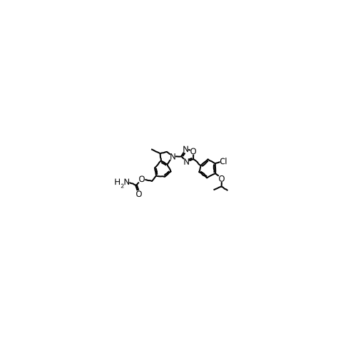 CC(C)Oc1ccc(-c2nc(N3CC(C)c4cc(COC(N)=O)ccc43)no2)cc1Cl